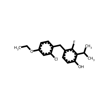 CCOc1ccc(Cc2ccc(O)c(C(C)C)c2F)c(Cl)c1